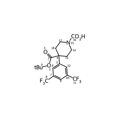 CC(C)(C)OC(=O)C1(c2cc(C(F)(F)F)cc(C(F)(F)F)c2)CCN(C(=O)O)CC1